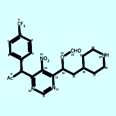 CC(=O)C(c1ccc(C(F)(F)F)cc1)c1ncnc(C(CC2CCNCC2)OC=O)c1[N+](=O)[O-]